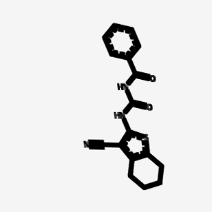 N#Cc1c(NC(=O)NC(=O)c2ccccc2)sc2c1CCCC2